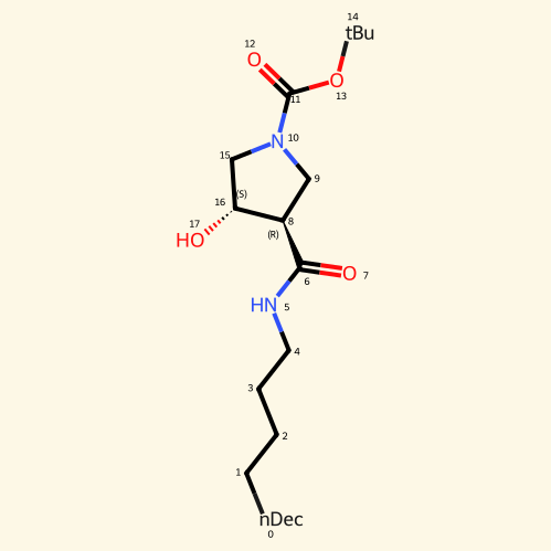 CCCCCCCCCCCCCCNC(=O)[C@@H]1CN(C(=O)OC(C)(C)C)C[C@H]1O